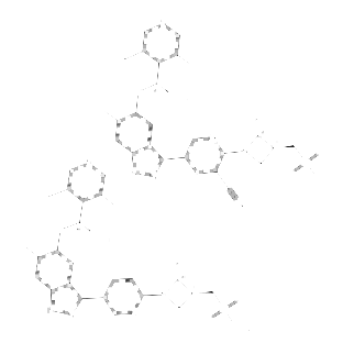 C[C@@H]1[C@@H](CS(C)(=O)=O)CN1c1ccc(-c2n[nH]c3cc(F)c(O[C@H](C)c4c(Cl)cncc4Cl)cc23)cn1.C[C@@H]1[C@@H](CS(C)(=O)=O)CN1c1ncc(-c2n[nH]c3cc(F)c(O[C@H](C)c4c(Cl)cncc4Cl)cc23)cc1C#N